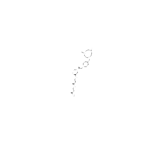 CCN1CCN(CC(=O)O)CCN(CC2CCN(CC(=O)N(CC(=O)O)CC(=O)NCCC(=O)NCCC(N)=O)CC2)CC1